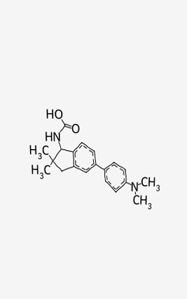 CN(C)c1ccc(-c2ccc3c(c2)CC(C)(C)C3NC(=O)O)cc1